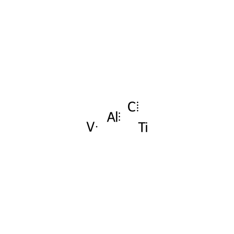 [Al].[C].[Ti].[V]